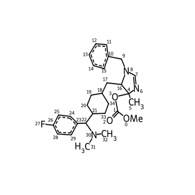 COC(=O)OC1(C)N=CN(Cc2ccccc2)C1CC1CCC(C(c2ccc(F)cc2)N(C)C)CC1